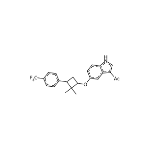 CC(=O)c1c[nH]c2ccc(OC3CC(c4ccc(C(F)(F)F)cc4)C3(C)C)cc12